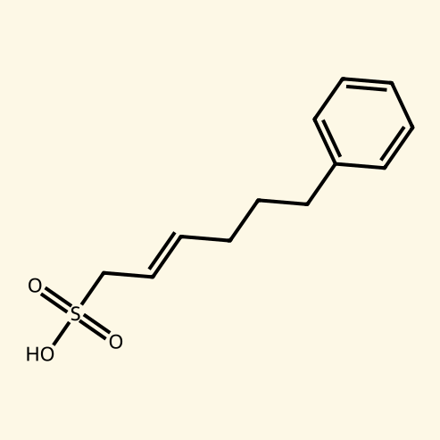 O=S(=O)(O)CC=CCCCc1ccccc1